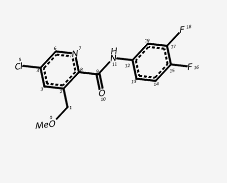 COCc1cc(Cl)cnc1C(=O)Nc1ccc(F)c(F)c1